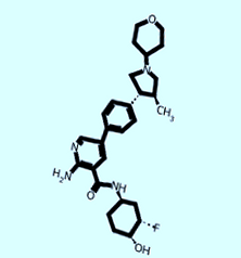 C[C@@H]1CN(C2CCOCC2)C[C@H]1c1ccc(-c2cnc(N)c(C(=O)N[C@@H]3CC[C@@H](O)[C@@H](F)C3)c2)cc1